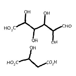 O=C(O)CC(O)C(=O)O.O=CC(O)C(O)C(O)C(O)C(=O)O